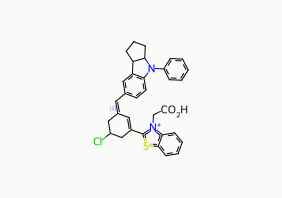 O=C(O)C[n+]1c(C2=C/C(=C\c3ccc4c(c3)C3CCCC3N4c3ccccc3)CC(Cl)C2)sc2ccccc21